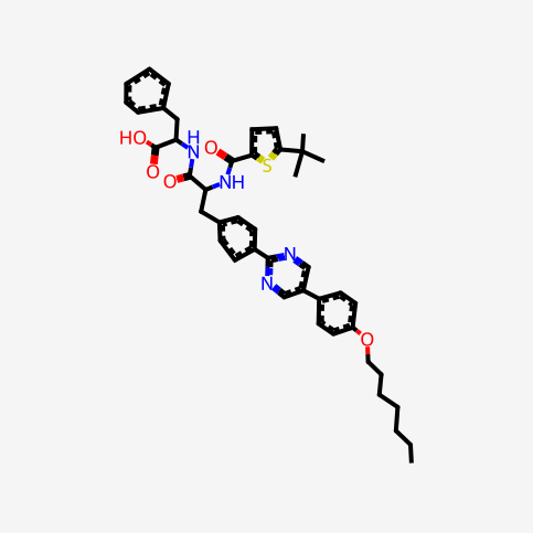 CCCCCCCOc1ccc(-c2cnc(-c3ccc(CC(NC(=O)c4ccc(C(C)(C)C)s4)C(=O)NC(Cc4ccccc4)C(=O)O)cc3)nc2)cc1